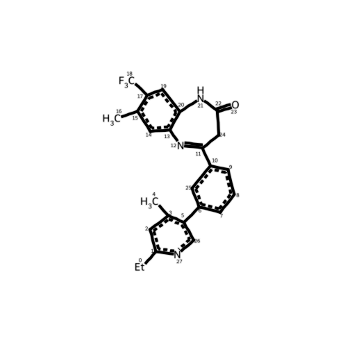 CCc1cc(C)c(-c2cccc(C3=Nc4cc(C)c(C(F)(F)F)cc4NC(=O)C3)c2)cn1